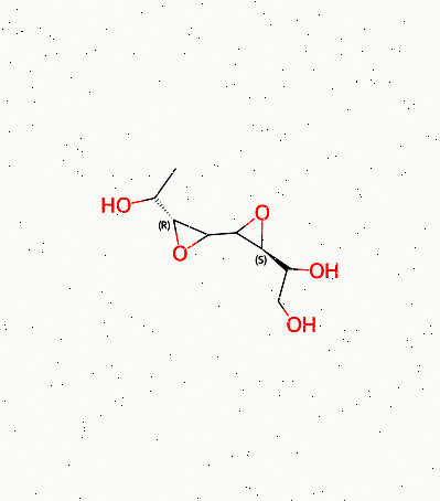 CC(O)[C@H]1OC1C1O[C@H]1C(O)CO